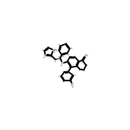 O=C1CCCc2c1ccc(O[C@@H](Cc1ncc[nH]1)c1ccccc1)c2-c1cccc(Cl)c1